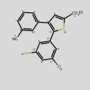 CCOC(=O)c1cc(-c2cccc(C#N)c2)c(-c2cc(F)cc(Cl)c2)s1